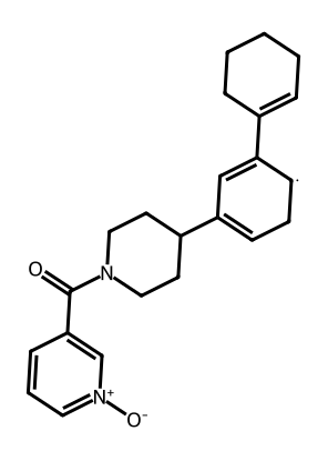 O=C(c1ccc[n+]([O-])c1)N1CCC(C2=CC[CH]C(C3=CCCCC3)=C2)CC1